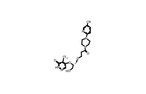 N#Cc1ccc(N2CCN(C(=O)CCOC[C@H](CO)Oc3cn[nH]c(=O)c3C(F)(F)F)CC2)nc1